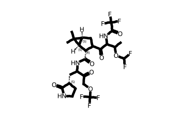 CC(OC(F)F)C(NC(=O)C(F)(F)F)C(=O)C1C[C@H]2[C@@H]([C@H]1C(=O)NC(C[C@@H]1CCNC1=O)C(=O)COC(F)(F)F)C2(C)C